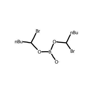 CCCCC(Br)OB([O])OC(Br)CCCC